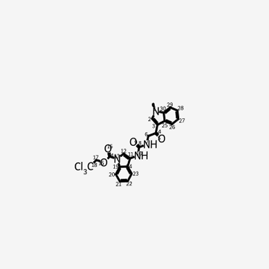 Cn1cc(C(=O)CNC(=O)Nc2cn(C(=O)OCC(Cl)(Cl)Cl)c3ccccc23)c2ccccc21